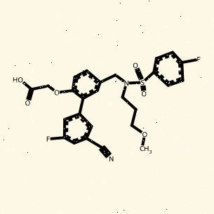 COCCCN(Cc1ccc(OCC(=O)O)c(-c2cc(F)cc(C#N)c2)c1)S(=O)(=O)c1ccc(F)cc1